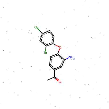 CC(=O)c1ccc(Oc2ccc(Cl)cc2Br)c(N)c1